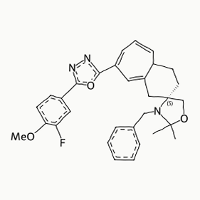 COc1ccc(-c2nnc(C3=CC=CC4CC[C@@]5(COC(C)(C)N5Cc5ccccc5)CC4=C3)o2)cc1F